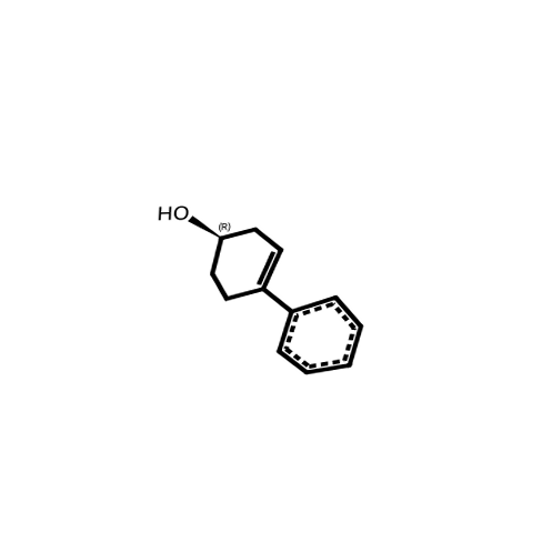 O[C@H]1CC=C(c2ccccc2)CC1